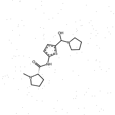 CN1CCC[C@H]1C(=O)Nc1ccc(C(O)N2CCCC2)s1